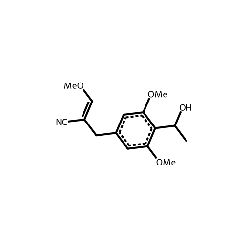 COC=C(C#N)Cc1cc(OC)c(C(C)O)c(OC)c1